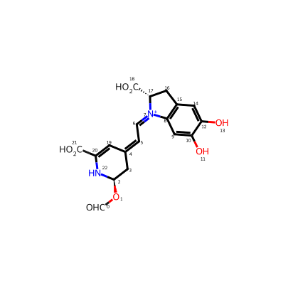 O=CO[C@@H]1C/C(=C/C=[N+]2\c3cc(O)c(O)cc3C[C@H]2C(=O)O)C=C(C(=O)O)N1